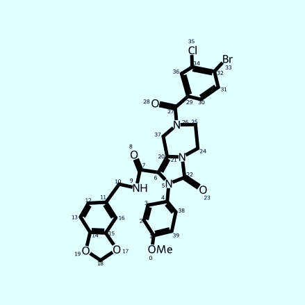 COc1ccc(-n2c(C(=O)NCc3ccc4c(c3)OCO4)c3n(c2=O)CCN(C(=O)c2ccc(Br)c(Cl)c2)C3)cc1